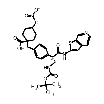 CC(C)(C)OC(=O)NC[C@@H](C(=O)Nc1cc2ccncc2s1)c1ccc(CC2(C(=O)O)CCC(O[N+](=O)[O-])CC2)cc1